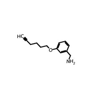 C#CCCCCOc1cccc(CN)c1